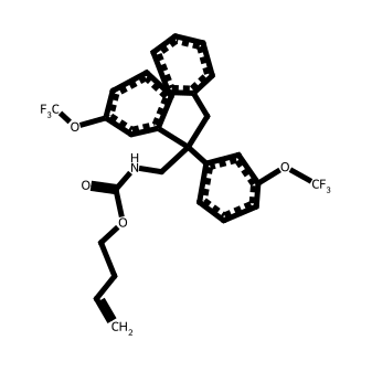 C=CCCOC(=O)NCC(Cc1ccccc1)(c1cccc(OC(F)(F)F)c1)c1cccc(OC(F)(F)F)c1